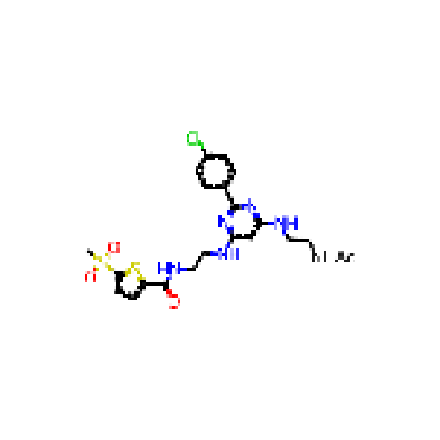 CC(=O)NCCNc1cc(NCCNC(=O)c2ccc(S(C)(=O)=O)s2)nc(-c2ccc(Cl)cc2)n1